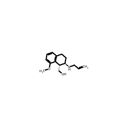 C=CCN[C@@H]1CCc2cccc(OC)c2[C@H]1CO